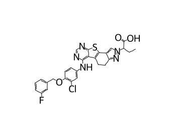 CCC(C(=O)O)n1cc2c(n1)CCc1c-2sc2ncnc(Nc3ccc(OCc4cccc(F)c4)c(Cl)c3)c12